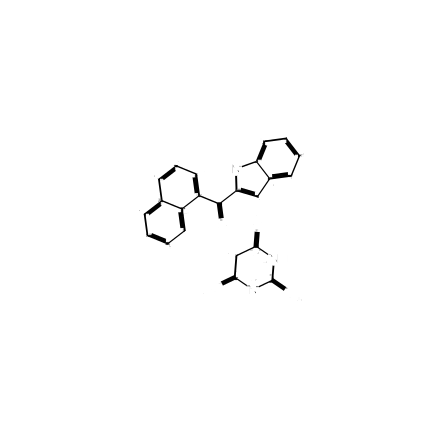 O=C(c1cc2ccccc2[nH]1)c1cccc2ccccc12.O=C1CC(=O)NC(=S)N1